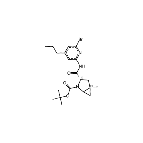 CCCc1cc(Br)nc(NC(=O)[C@@H]2C[C@@]3(C)CC3N2C(=O)OC(C)(C)C)c1